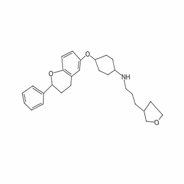 c1ccc(C2CCc3cc(OC4CCC(NCCCC5CCOC5)CC4)ccc3O2)cc1